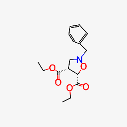 CCOC(=O)[C@H]1ON(Cc2ccccc2)C[C@H]1C(=O)OCC